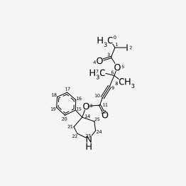 CC(I)C(=O)OC(C)(C)C#CC(=O)OC1(c2ccccc2)CCNCC1